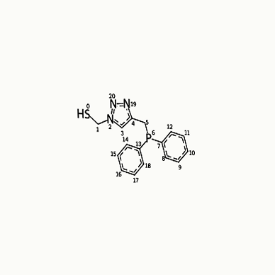 SCn1cc(CP(c2ccccc2)c2ccccc2)nn1